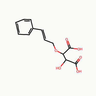 O=C(O)C(O)C(OC/C=C/c1ccccc1)C(=O)O